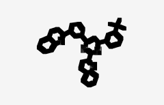 CC(C)(C)c1cccc(-c2cc(-c3cccc(-c4ccc5ccccc5n4)c3)nc(-c3ccc4ccccc4n3)n2)c1